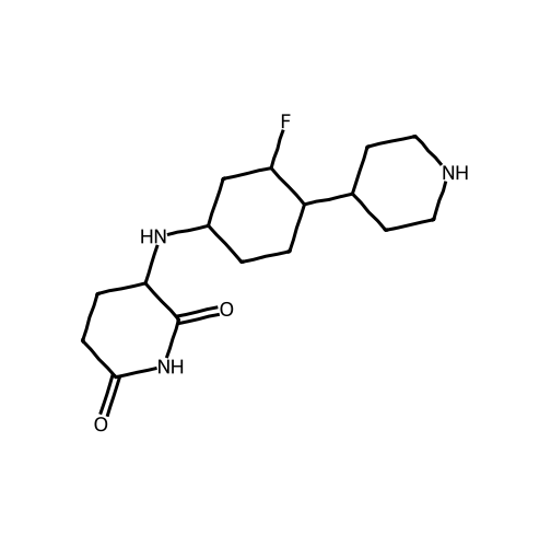 O=C1CCC(NC2CCC(C3CCNCC3)C(F)C2)C(=O)N1